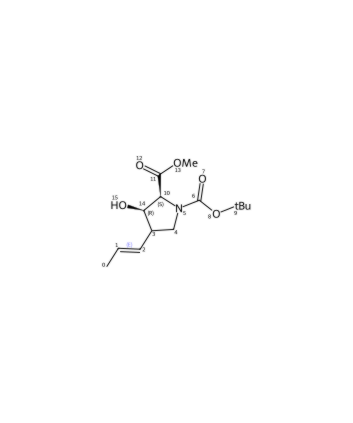 C/C=C/C1CN(C(=O)OC(C)(C)C)[C@H](C(=O)OC)[C@@H]1O